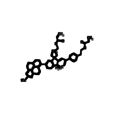 C=CC(=O)OCCCC1(C=C)/C(=C/C(=C\C)c2ccc(CCOC(=O)C=C)cc2)C(=C)c2ccc(-c3ccc4ccc5cc(C(C)(C)C)cc6ccc3c4c56)cc21